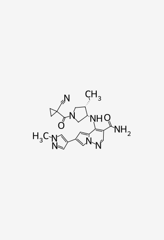 CC[C@H]1CN(C(=O)C2(C#N)CC2)C[C@H]1Nc1c(C(N)=O)cnn2cc(-c3cnn(C)c3)cc12